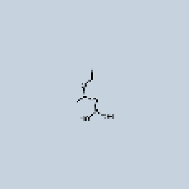 CCOC(C)OP(O)O